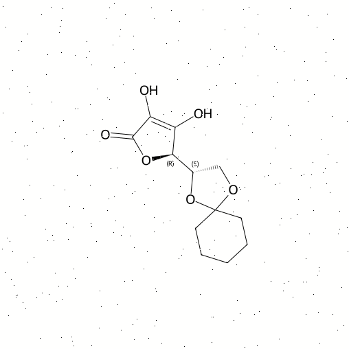 O=C1O[C@H]([C@@H]2COC3(CCCCC3)O2)C(O)=C1O